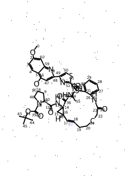 COc1ccc2c(O[C@@H]3C[C@@H](C(=O)N[C@]45C[C@@H]4/C=C/CCCCC(=O)Nc4ccccc4S(=O)(=O)NC5=O)N(C(=O)OC(C)(C)C)C3)cc(-c3csc(NC(C)C)n3)nc2c1